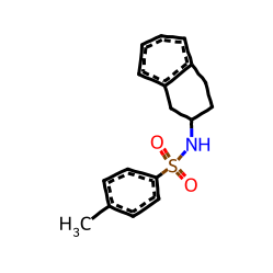 Cc1ccc(S(=O)(=O)NC2CCc3ccccc3C2)cc1